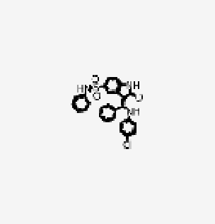 O=C1Nc2ccc(S(=O)(=O)Nc3ccccc3)cc2/C1=C(/Nc1ccc(Cl)cc1)c1ccccc1